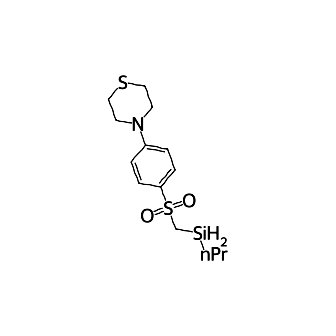 CCC[SiH2]CS(=O)(=O)c1ccc(N2CCSCC2)cc1